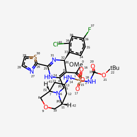 COC(=O)C1=C(CN2[C@@H]3COC[C@H]2C[C@H](NS(=O)(=O)NC(=O)OC(C)(C)C)C3)NC(c2nccs2)=N[C@H]1c1ccc(F)cc1Cl